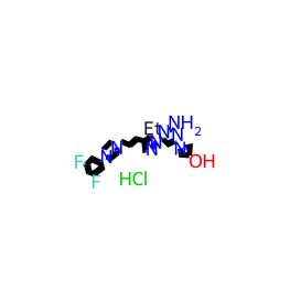 CCc1c(/C=C/CN2CCN(c3cc(F)cc(F)c3)CC2)cnn1-c1cc(N2CC(O)C2)nc(N)n1.Cl